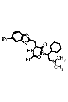 CCC(=O)NC(Cc1nc2ccc(C(C)C)cc2s1)C(=O)NC(CN(C)C)C1CCCCC1